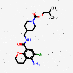 CC(C)COC(=O)N1CCC(CNC(=O)c2cc(Br)c(N)c3c2OCCC3)CC1